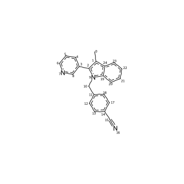 Cc1c(-c2cccnc2)n(Cc2ccc(C#N)cc2)c2ccccc12